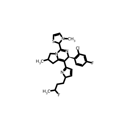 CC(F)CCC1C=CC(C2=C3CC(C)CN3C(C3SC=CN3C)=N[C@H]2c2ccc(F)cc2Cl)=N1